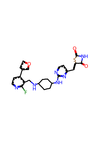 O=C1NC(=O)/C(=C/c2ccnc(NC3CCC(NCc4c(-c5ccoc5)ccnc4F)CC3)n2)S1